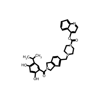 CC(C)c1cc(C(=O)N2Cc3ccc(CN4CCN(C(=O)Oc5ccnc6ccccc56)CC4)cc3C2)c(O)cc1O